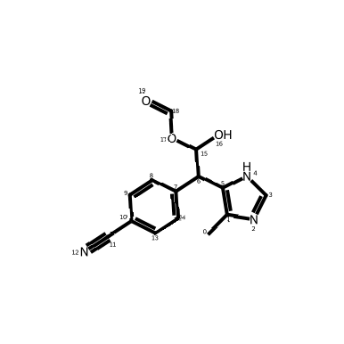 Cc1nc[nH]c1C(c1ccc(C#N)cc1)C(O)OC=O